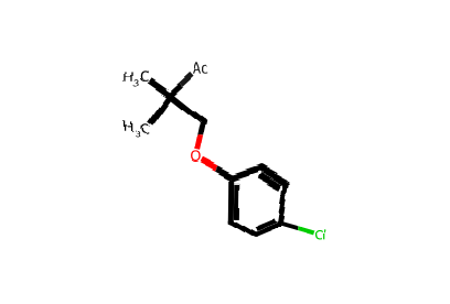 CC(=O)C(C)(C)COc1ccc(Cl)cc1